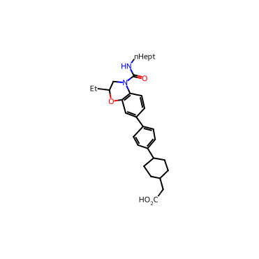 CCCCCCCNC(=O)N1CC(CC)Oc2cc(-c3ccc(C4CCC(CC(=O)O)CC4)cc3)ccc21